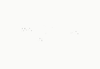 CNC1=NC2=CC(C=C(C#N)C=C2)S1